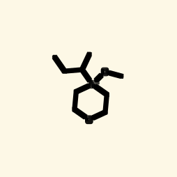 CCC(C)[N+]1(OC)CCOCC1